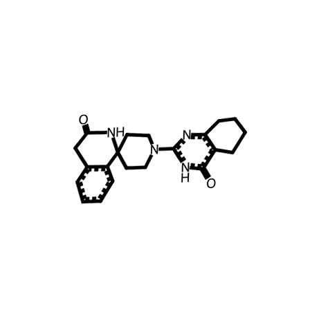 O=C1Cc2ccccc2C2(CCN(c3nc4c(c(=O)[nH]3)CCCC4)CC2)N1